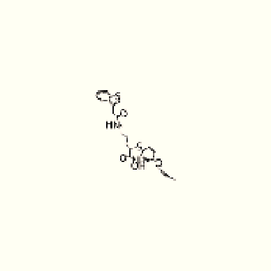 CC#CCOc1ccc(SC(CCCCNC(=O)Cc2csc3ccccc23)C(=O)NO)cc1